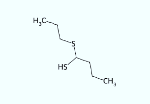 CCCSC(S)CCC